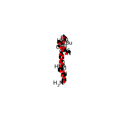 Cc1ncsc1-c1ccc(CNC(=O)[C@@H]2CCCN2C(=O)[C@@H](NC(=O)C2(F)CC2)C(C)(C)C)c(OC2CC3(CCN(c4cnc(C(=O)Nc5cccc(Sc6cnc(N7CCC(C)(CN)CC7)cn6)c5Cl)nc4)CC3)C2)c1